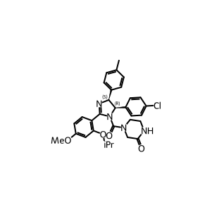 COc1ccc(C2=N[C@@H](c3ccc(C)cc3)[C@@H](c3ccc(Cl)cc3)N2C(=O)N2CCNC(=O)C2)c(OC(C)C)c1